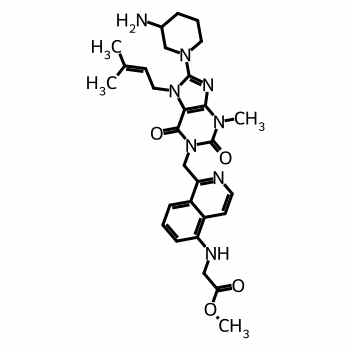 COC(=O)CNc1cccc2c(Cn3c(=O)c4c(nc(N5CCCC(N)C5)n4CC=C(C)C)n(C)c3=O)nccc12